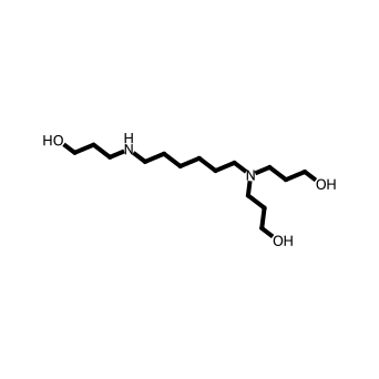 OCCCNCCCCCCN(CCCO)CCCO